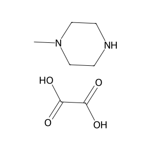 CN1CCNCC1.O=C(O)C(=O)O